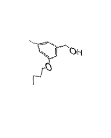 CCCCOc1cc(C)cc(CO)c1